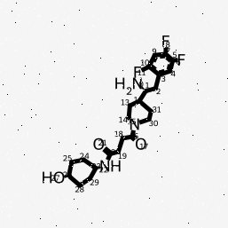 N[C@H](Cc1cc(F)c(F)cc1F)C1CCN(C(=O)CCC(=O)N[C@H]2CC[C@H](O)CC2)CC1